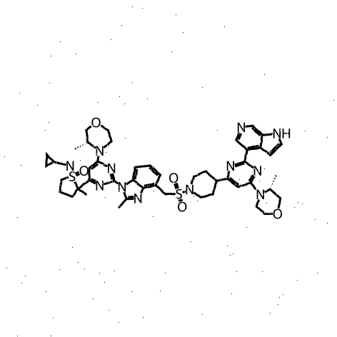 Cc1nc2c(CS(=O)(=O)N3CCC(c4cc(N5CCOC[C@H]5C)nc(-c5cncc6[nH]ccc56)n4)CC3)cccc2n1-c1nc(N2CCOC[C@H]2C)cc(C2(C)CCCS2(=O)=NC2CC2)n1